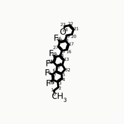 CCCc1cc2c(c(F)c1F)-c1c(cc(-c3ccc(C4CC=CCO4)c(F)c3)c(F)c1F)C2